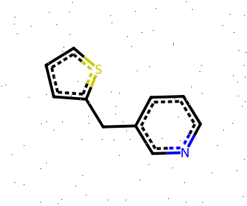 c1cncc(Cc2cccs2)c1